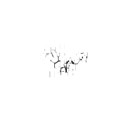 CC(=O)OCC1=C(C(=O)O)N2C(=O)[C@@](NC(=O)Cc3nncs3)(C(C)=O)[C@H]2SC1